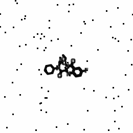 CCOn1c(C(=O)N(C#N)C2CCCCC2)nc2ccc(F)cc2c1=O